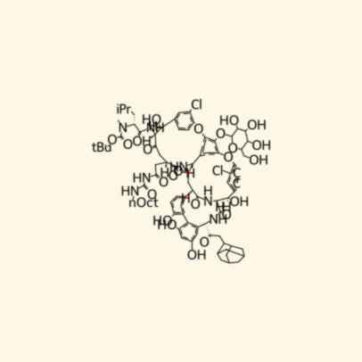 CCCCCCCCNC(=O)NC(=O)C[C@@H]1CC(=O)[C@H](NC(=O)[C@@H](CC(C)C)N(C)C(=O)OC(C)(C)C)[C@H](O)c2ccc(c(Cl)c2)Oc2cc3cc(c2OC2OC(CO)C(O)C(O)C2O)Oc2ccc(cc2Cl)[C@@H](O)[C@@H]2NC(=O)[C@H](CC(=O)[C@@H]3NC1=O)c1ccc(O)c(c1)-c1c(O)cc(O)cc1[C@@H](C(=O)CC1C3CC4CC(C3)CC1C4)NC2=O